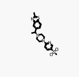 Cc1nc2cc(C(C)N3CCN(c4ccc(S(C)(=O)=O)cn4)CC3)ccc2s1